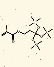 C=C(C)C(=O)OCC[Si](O[Si](C)(C)C)(O[Si](C)(C)C)O[Si](C)(C)C